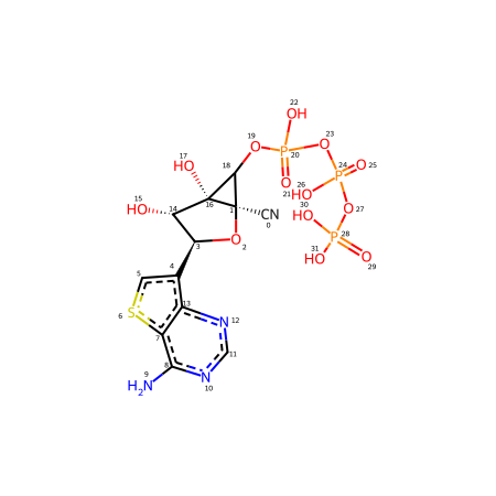 N#C[C@]12O[C@@H](c3csc4c(N)ncnc34)[C@H](O)[C@@]1(O)C2OP(=O)(O)OP(=O)(O)OP(=O)(O)O